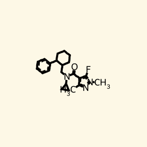 Cc1nn(C)c(F)c1C(=O)N(CC1CCCCC1c1ccccc1)C1CC1